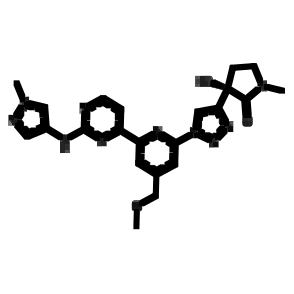 COCc1cc(-c2ccnc(Nc3cnn(C)c3)n2)nc(-n2cc([C@]3(O)CCN(C)C3=O)nn2)c1